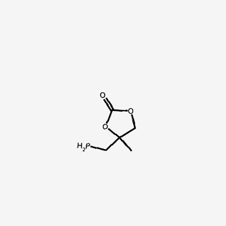 CC1(CP)COC(=O)O1